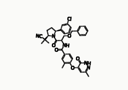 Cc1cc(Oc2ccc(C(=O)NC(COCc3ccccc3)C(=O)N3[C@H](c4cccc(Cl)c4)CC[C@@H]3C(C)(C)C#N)cc2C)c(=O)[nH]n1